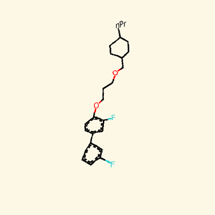 CCCC1CCC(COCCCOc2ccc(-c3cccc(F)c3)cc2F)CC1